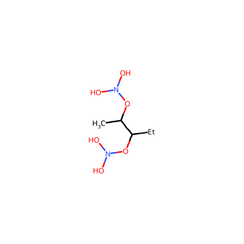 CCC(ON(O)O)C(C)ON(O)O